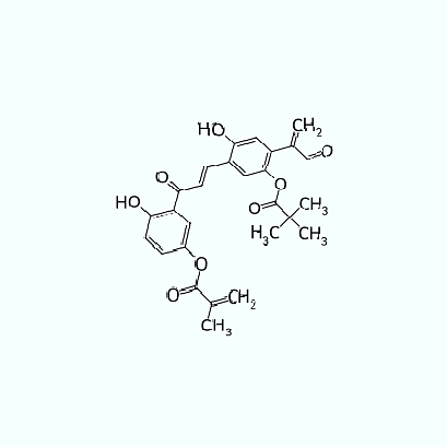 C=C(C)C(=O)Oc1ccc(O)c(C(=O)/C=C/c2cc(OC(=O)C(C)(C)C)c(C(=C)C=O)cc2O)c1